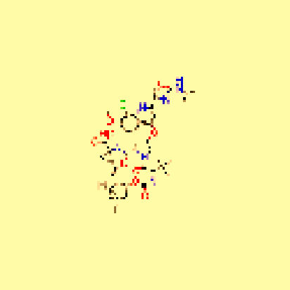 C=C[C@@H]1C[C@]1(NC(=O)[C@@H]1C[C@@H](Oc2cc(-c3coc(NC(C)C)n3)nc3c(Cl)c(OC)ccc23)CN1C(=O)[C@@H](NC(=O)O[C@@H]1C[C@@H]2C[C@@H]2C1)C(C)(C)C)C(=O)O